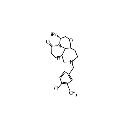 CC(C)[C@H]1COC2CCN(Cc3ccc(Cl)c(C(F)(F)F)c3)C[C@H]3CCC(=O)N1C23